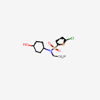 O=C(O)CN(C1CCC(O)CC1)S(=O)(=O)c1ccc(Cl)s1